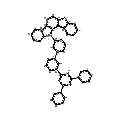 c1ccc(-c2nc(-c3ccccc3)nc(-c3cccc(-c4cccc(-n5c6ccccc6c6ccc7sc8ccccc8c7c65)c4)c3)n2)cc1